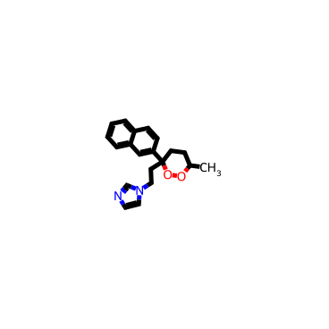 CC1CCC(CCn2ccnc2)(c2ccc3ccccc3c2)OO1